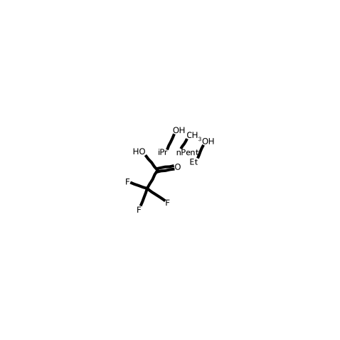 CC(C)O.CCCCCC.CCO.O=C(O)C(F)(F)F